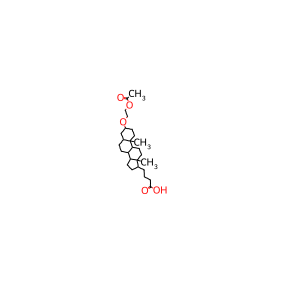 CC(=O)OCCOC1CCC2(C)C(CCC3C4CCC(CCCC(=O)O)C4(C)CCC32)C1